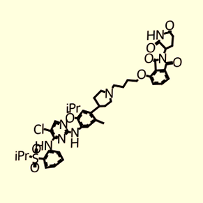 Cc1cc(Nc2ncc(Cl)c(Nc3ccccc3S(=O)(=O)C(C)C)n2)c(OC(C)C)cc1C1CCN(CCCCOc2cccc3c2C(=O)N(C2CCC(=O)NC2=O)C3=O)CC1